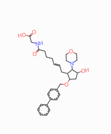 O=C(O)CNC(=O)CCCC=CCC1C(OCc2ccc(-c3ccccc3)cc2)CC(O)C1N1CCOCC1